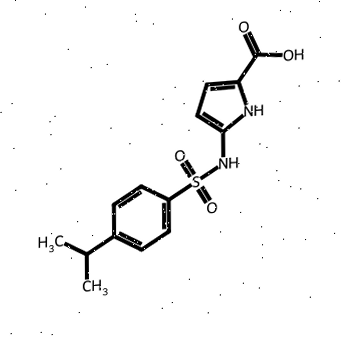 CC(C)c1ccc(S(=O)(=O)Nc2ccc(C(=O)O)[nH]2)cc1